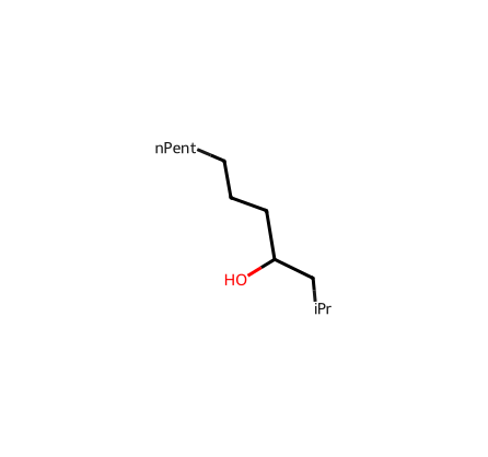 CCCCCCCCC(O)CC(C)C